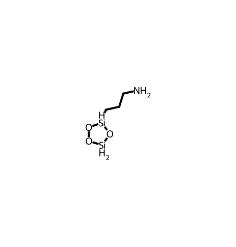 NCCC[SiH]1OO[SiH2]O1